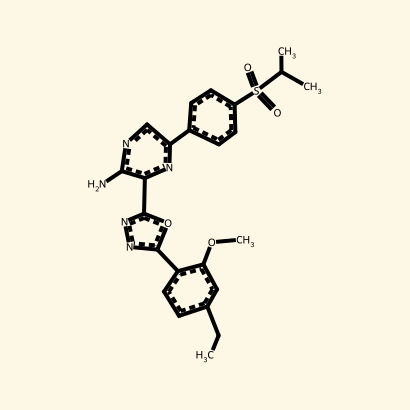 CCc1ccc(-c2nnc(-c3nc(-c4ccc(S(=O)(=O)C(C)C)cc4)cnc3N)o2)c(OC)c1